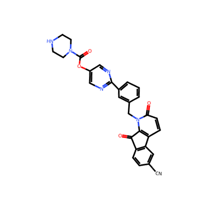 N#Cc1ccc2c(c1)-c1ccc(=O)n(Cc3cccc(-c4ncc(OC(=O)N5CCNCC5)cn4)c3)c1C2=O